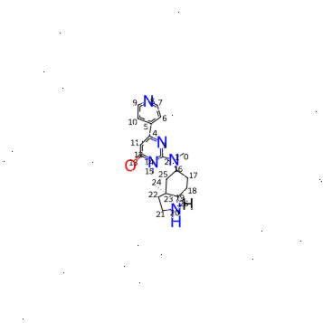 CN(c1nc(-c2ccncc2)cc(=O)n1C)[C@H]1CC[C@H]2NCC[C@@]2(C)C1